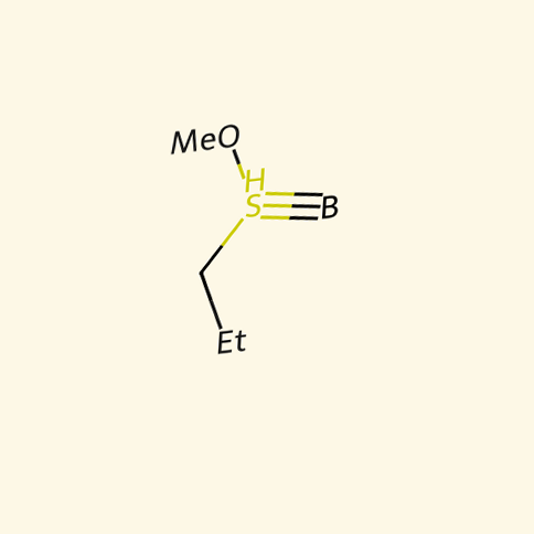 B#[SH](CCC)OC